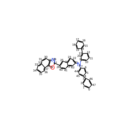 c1ccc(-c2ccc(N(c3cccc(-c4ccccc4)c3)c3ccc4cc(-c5nc6ccc7ccccc7c6o5)ccc4c3)cc2)cc1